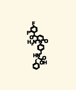 Nc1c(C(=O)c2ccc(F)cc2F)ccc(=O)n1-c1ccc(CN[C@@H](Cc2ccccc2)C(=O)O)cc1